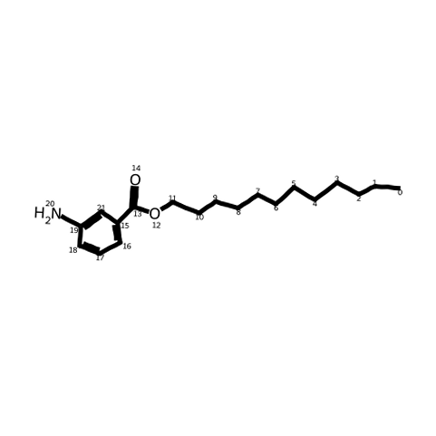 CCCCCCCCCCCCOC(=O)c1cccc(N)c1